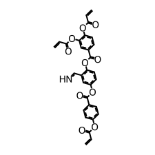 C=CC(=O)Oc1ccc(C(=O)Oc2ccc(OC(=O)c3ccc(OC(=O)C=C)c(OC(=O)C=C)c3)c(C=N)c2)cc1